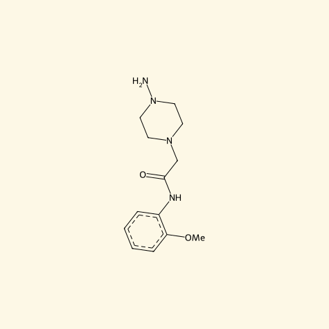 COc1ccccc1NC(=O)CN1CCN(N)CC1